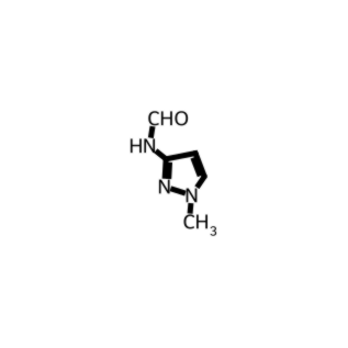 Cn1ccc(NC=O)n1